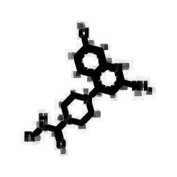 CCNC(=O)N1CCN(c2cc(N)nc3cc(Cl)ccc23)CC1